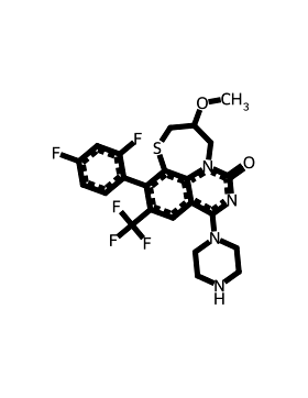 COC1CSc2c(-c3ccc(F)cc3F)c(C(F)(F)F)cc3c(N4CCNCC4)nc(=O)n(c23)C1